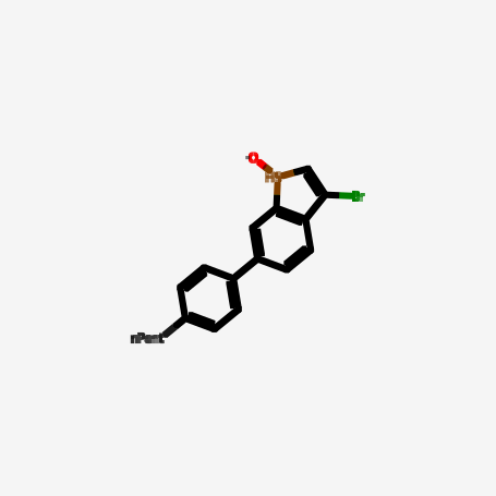 CCCCCc1ccc(-c2ccc3c(c2)[SH]([O])C=C3Br)cc1